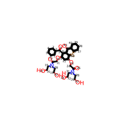 O=C(c1ccccc1)c1c(OCC(=O)N(CCO)CCO)cc(OCC(=O)N(CCO)CCO)c2sc3ccccc3c(=O)c12